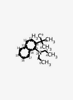 CCN(CC)c1c(C(C)(C)C)ccc2ccccc12